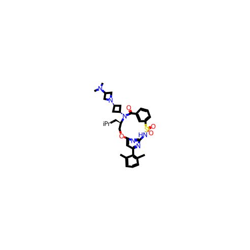 Cc1cccc(C)c1-c1cc2nc(n1)NS(=O)(=O)c1cccc(c1)C(=O)N([C@H]1C[C@@H](N3CC(N(C)C)C3)C1)[C@H](CC(C)C)CO2